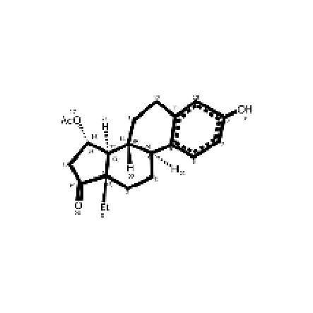 CC[C@]12CC[C@@H]3c4ccc(O)cc4CC[C@H]3[C@@H]1[C@@H](OC(C)=O)CC2=O